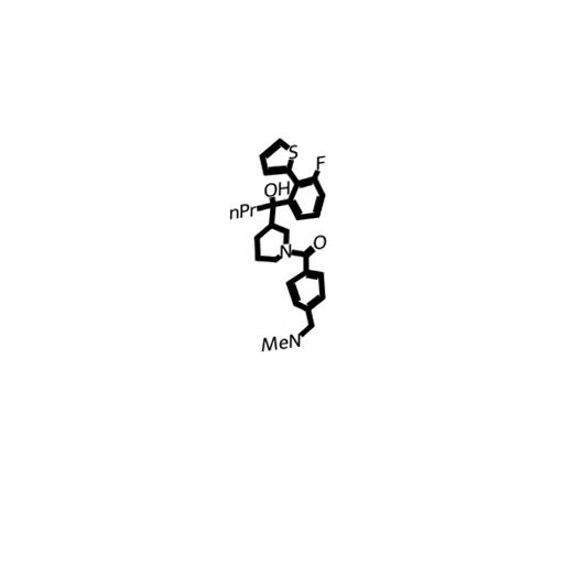 [CH2]CCC(O)(c1cccc(F)c1-c1cccs1)C1CCCN(C(=O)c2ccc(CNC)cc2)C1